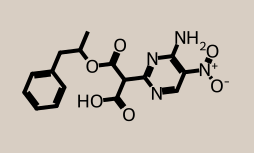 CC(Cc1ccccc1)OC(=O)C(C(=O)O)c1ncc([N+](=O)[O-])c(N)n1